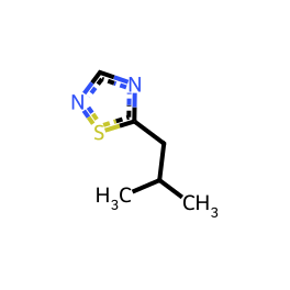 CC(C)Cc1ncns1